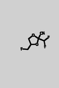 N#CC1(C(F)F)OCC(CF)O1